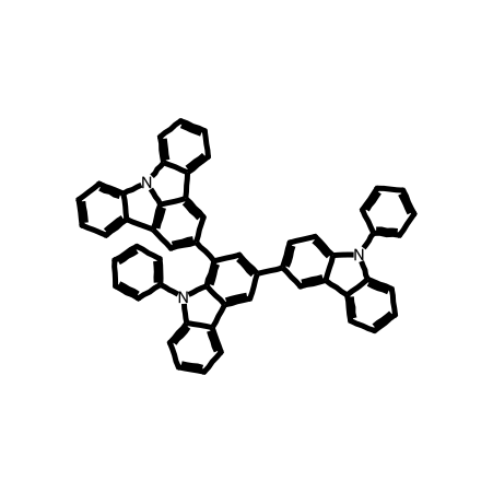 c1ccc(-n2c3ccccc3c3cc(-c4cc(-c5cc6c7ccccc7n7c8ccccc8c(c5)c67)c5c(c4)c4ccccc4n5-c4ccccc4)ccc32)cc1